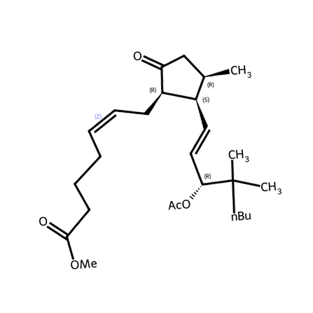 CCCCC(C)(C)[C@@H](C=C[C@@H]1[C@H](C)CC(=O)[C@@H]1C/C=C\CCCC(=O)OC)OC(C)=O